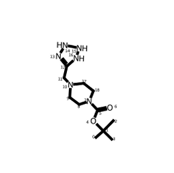 CC(C)(C)OC(=O)N1CCN(CC2=NNNN2)CC1